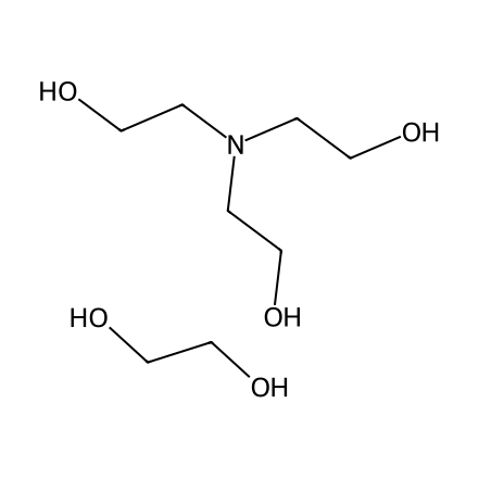 OCCN(CCO)CCO.OCCO